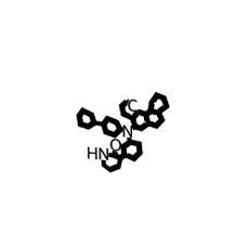 C1=Cc2c(oc3c(N(c4ccc(-c5ccccc5)cc4)c4cc5ccc6ccccc6c5c5ccccc45)cccc23)NC1